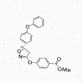 COC(=O)c1ccc(OC2=NO[C@H](c3ccc(Oc4ccccc4)cc3)C2)cc1